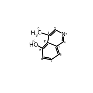 Cc1cncc2cccc(O)c12